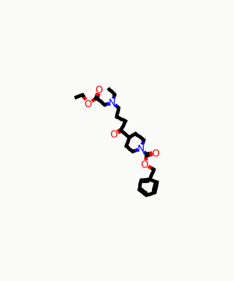 CCOC(=O)CN(CC)CCCC(=O)C1CCN(C(=O)OCc2ccccc2)CC1